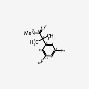 CNC(=O)C(C)(C)c1cc(F)cc(F)c1